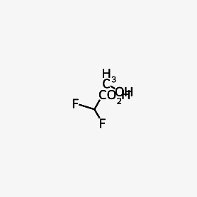 CO.O=C(O)C(F)F